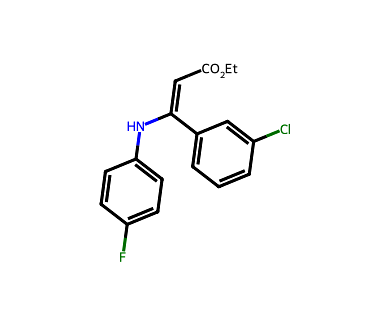 CCOC(=O)C=C(Nc1ccc(F)cc1)c1cccc(Cl)c1